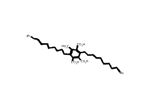 CC(C)CCCCCCCCCc1c(C(=O)O)c(C(=O)O)c(CCCCCCCCCC(C)C)c(C(=O)O)c1C(=O)O